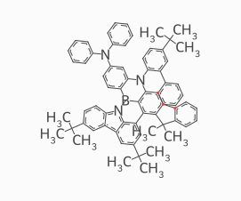 CC(C)(C)c1ccc(N2c3cc(N(c4ccccc4)c4ccccc4)ccc3B3c4c2cc2c(c4-c4cc(C(C)(C)C)cc5c6cc(C(C)(C)C)ccc6n3c45)C(C)(C)c3ccccc3-2)c(-c2ccccc2)c1